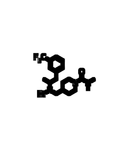 CCN(CC1CCN(C(=O)N(C)C)CC1)C(C)Cc1cccc(C(F)(F)F)c1